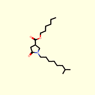 CCCCCCOC(=O)C1CC(=O)N(CCCCCCC(C)C)C1